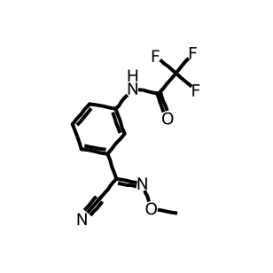 CON=C(C#N)c1cccc(NC(=O)C(F)(F)F)c1